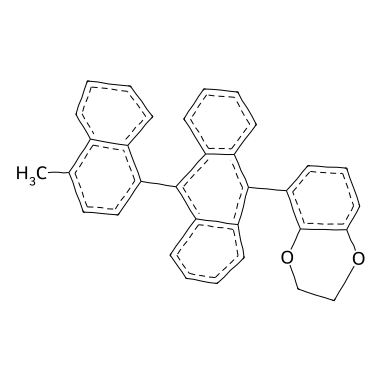 Cc1ccc(-c2c3ccccc3c(-c3cccc4c3OCCO4)c3ccccc23)c2ccccc12